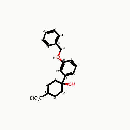 CCOC(=O)C1CCC(O)(c2cccc(OCc3ccccc3)c2)CC1